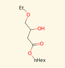 CCCCCCOC(=O)CC(O)COCC